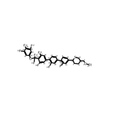 CCOCC1CCC(c2ccc(-c3ccc(-c4cc(F)c(C(F)(F)Oc5cc(F)c(F)c(F)c5)c(F)c4)c(F)c3)c(F)c2)SC1